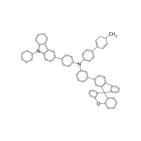 CC1C=CC(c2ccc(N(c3ccc(-c4ccc5c(c4)c4ccccc4n5-c4ccccc4)cc3)c3cccc(-c4ccc5c(c4)C4(c6ccccc6Oc6ccccc64)c4ccccc4-5)c3)cc2)=CC1